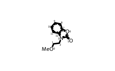 COCCn1c(=O)oc2ccccc21